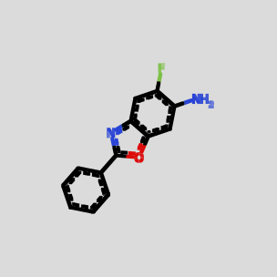 Nc1cc2oc(-c3ccccc3)nc2cc1F